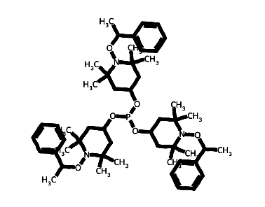 CC(ON1C(C)(C)CC(OP(OC2CC(C)(C)N(OC(C)c3ccccc3)C(C)(C)C2)OC2CC(C)(C)N(OC(C)c3ccccc3)C(C)(C)C2)CC1(C)C)c1ccccc1